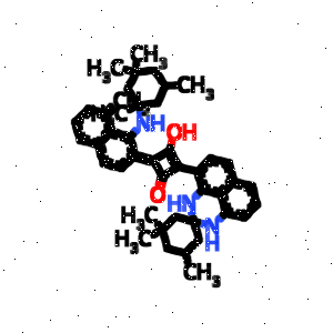 C=c1cccc2cc/c(=C3\C(=O)C(c4ccc5cccc6c5c4NC4(CC(C)CC(C)(C)C4)N6)=C3O)c(NC3(C)CC(C)CC(C)(C)C3)c12